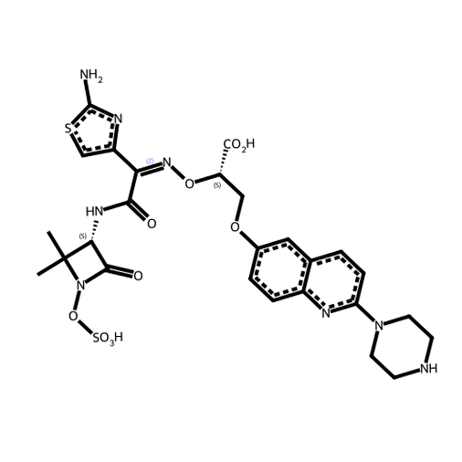 CC1(C)[C@H](NC(=O)/C(=N\O[C@@H](COc2ccc3nc(N4CCNCC4)ccc3c2)C(=O)O)c2csc(N)n2)C(=O)N1OS(=O)(=O)O